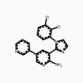 Nc1ncc(-c2cccnc2)cc1-c1nccn1-c1cccc(Cl)c1Cl